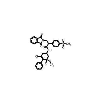 CS(=O)(=O)c1ccc(C(CN2C(=O)c3ccccc3C2=O)C(=O)NC2=CC(Cl)=C(c3ccccc3)C(Cl)(OC(F)(F)F)C2)cc1